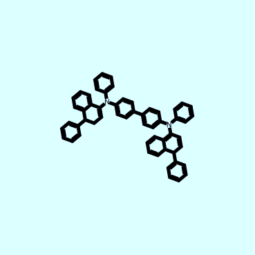 C1=CC2=C(N(c3ccccc3)c3ccc(-c4ccc(N(C5=CCC(c6ccccc6)c6ccccc65)c5ccccc5)cc4)cc3)C=CC(c3ccccc3)C2C=C1